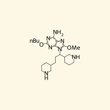 CCCCOc1nc(N)c2nc(OC)n(C(CCC3CCCNC3)C3CCCNC3)c2n1